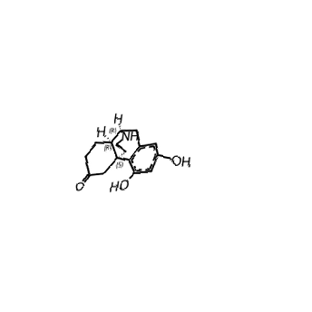 O=C1CC[C@H]2[C@H]3Cc4cc(O)cc(O)c4[C@@]2(CCN3)C1